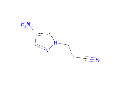 N#CCCn1cc(N)cn1